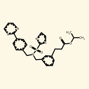 CC(C)OC(=O)CCc1cccc(CN(Cc2ccc(-c3ncccn3)cc2)S(=O)(=O)c2nccs2)c1